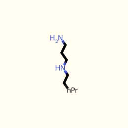 CCCCCNCCCN